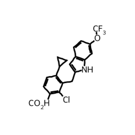 O=C(O)c1ccc(C2CC2)c(Cc2cc3ccc(OC(F)(F)F)cc3[nH]2)c1Cl